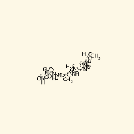 C[C@H]1CN(C(=O)CNc2cccc3c2C(=O)N(C2CCC(=O)NC2=O)C3=O)CCN1c1ccc(Nc2cc(-c3ccnc(N4CCn5c(cc6c5CC(C)(C)C6)C4=O)c3CO)cn(C)c2=O)nc1